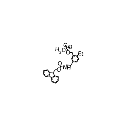 CCc1ccc(CCNC(=O)OCC2c3ccccc3-c3ccccc32)cc1COS(C)(=O)=O